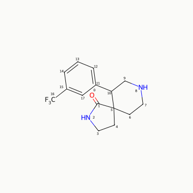 O=C1NCCC12CCNCC2c1cccc(C(F)(F)F)c1